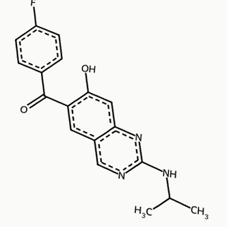 CC(C)Nc1ncc2cc(C(=O)c3ccc(F)cc3)c(O)cc2n1